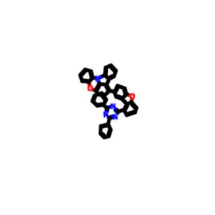 c1ccc(-c2nc(-c3ccccc3)nc(-c3cccc4oc5ccc(-c6ccc7c8c6c6ccccc6n8-c6ccccc6O7)cc5c34)n2)cc1